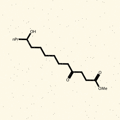 CCCC(O)CCCCCCC(=O)CCC(=O)OC